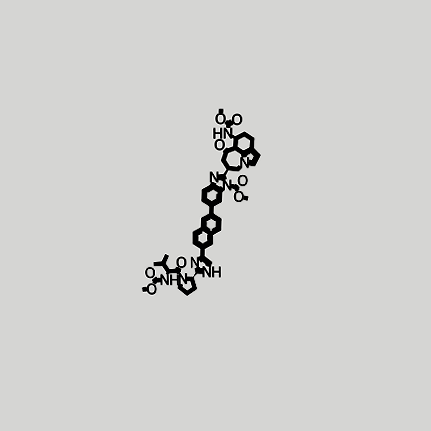 COC(=O)N[C@H]1CCc2ccn3c2C1C(=O)C[C@H](c1nc2ccc(-c4ccc5cc(-c6c[nH]c([C@@H]7CCCN7C(=O)[C@@H](NC(=O)OC)C(C)C)n6)ccc5c4)cc2n1C(=O)OC)C3